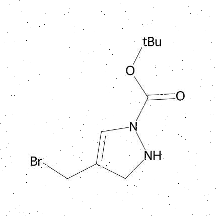 CC(C)(C)OC(=O)N1C=C(CBr)CN1